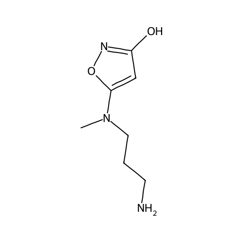 CN(CCCN)c1cc(O)no1